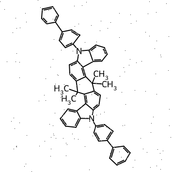 CC1(C)c2ccc3c(c2C(C)(C)c2ccc4c(c21)c1ccccc1n4-c1ccc(-c2ccccc2)cc1)c1ccccc1n3-c1ccc(-c2ccccc2)cc1